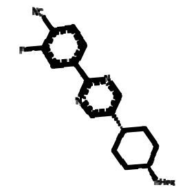 CCCCCC[C@H]1CC[C@H](c2cnc(-c3ccc(C#N)c(F)c3)nc2)CC1